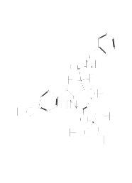 CC(C)(C)OC(=O)NC(Cc1ccc(O)cc1)[C@H](O)C(F)(F)C(=O)NCc1ccccc1